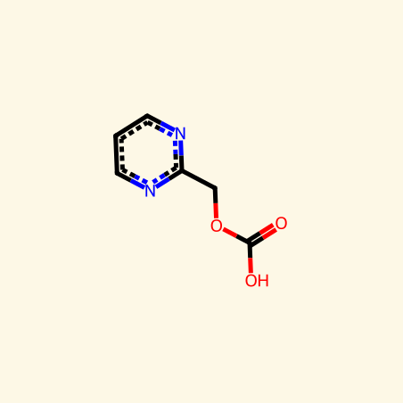 O=C(O)OCc1ncccn1